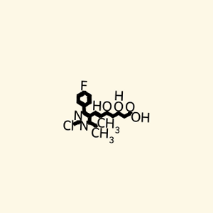 CC(C)c1nc(Cl)nc(-c2ccc(F)cc2)c1C=C[C@@H](O)C[C@@H](O)CC(=O)O